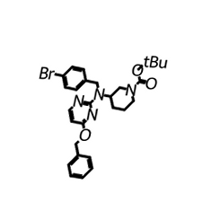 CC(C)(C)OC(=O)N1CCCC(N(Cc2ccc(Br)cc2)c2nccc(OCc3ccccc3)n2)C1